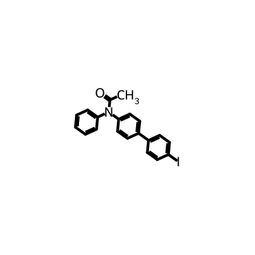 CC(=O)N(c1ccccc1)c1ccc(-c2ccc(I)cc2)cc1